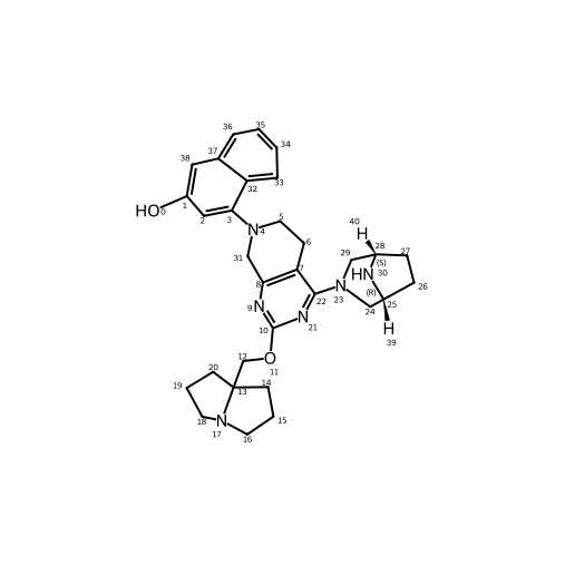 Oc1cc(N2CCc3c(nc(OCC45CCCN4CCC5)nc3N3C[C@H]4CC[C@@H](C3)N4)C2)c2ccccc2c1